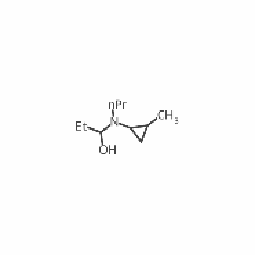 CCCN(C(O)CC)C1CC1C